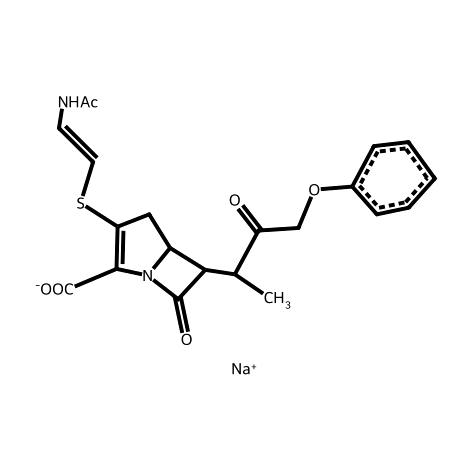 CC(=O)NC=CSC1=C(C(=O)[O-])N2C(=O)C(C(C)C(=O)COc3ccccc3)C2C1.[Na+]